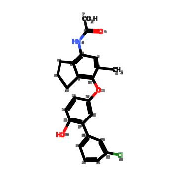 Cc1cc(NC(=O)C(=O)O)c2c(c1Oc1ccc(O)c(-c3cccc(Cl)c3)c1)CCC2